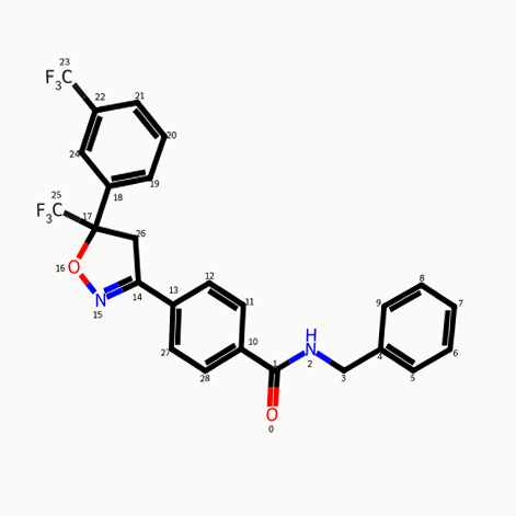 O=C(NCc1ccccc1)c1ccc(C2=NOC(c3cccc(C(F)(F)F)c3)(C(F)(F)F)C2)cc1